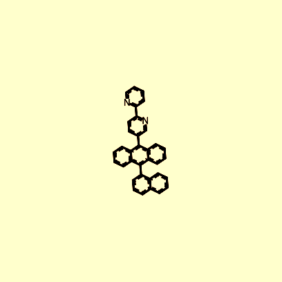 c1ccc(-c2ccc(-c3c4ccccc4c(-c4cccc5ccccc45)c4ccccc34)cn2)nc1